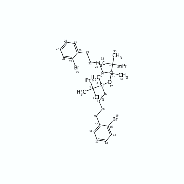 CC(C)C(C)(C)[Si](C)(CCCCc1ccccc1Br)O[Si](C)(CCCCc1ccccc1Br)C(C)(C)C(C)C